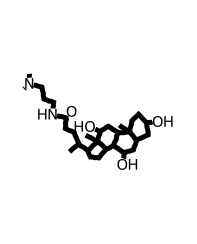 CC(CCC(=O)NCCCN(C)C)C1CCC2C3C(O)CC4CC(O)CCC4(C)C3CC(O)C12C